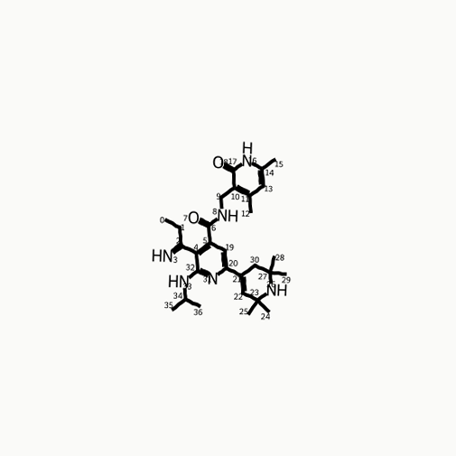 CCC(=N)c1c(C(=O)NCc2c(C)cc(C)[nH]c2=O)cc(C2=CC(C)(C)NC(C)(C)C2)nc1NC(C)C